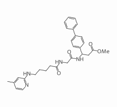 COC(=O)CC(NC(=O)CNC(=O)CCCCNc1cc(C)ccn1)c1ccc(-c2ccccc2)cc1